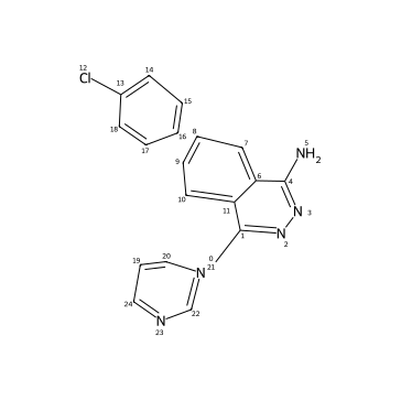 Cc1nnc(N)c2ccccc12.Clc1ccccc1.c1cncnc1